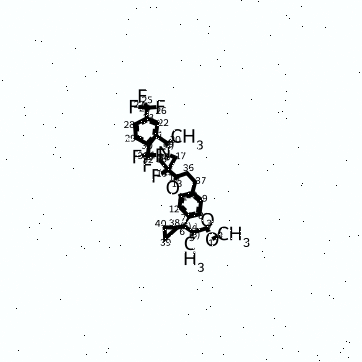 COC(=O)[C@@H](C)[C@H](c1ccc2c(c1)OC(C1(F)CN([C@H](C)c3cc(C(F)(F)F)ccc3C(F)(F)F)C1)CC2)C1CC1